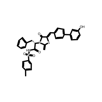 C=c1s/c(=C\c2ccc(-c3cccc(O)c3)cc2)c(=O)n1[C@@H](Cc1ccccc1)C(=O)NS(=O)(=O)c1ccc(C)cc1